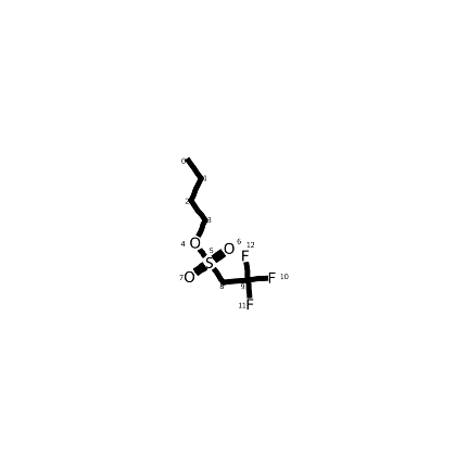 CCCCOS(=O)(=O)CC(F)(F)F